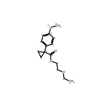 CCOCCOC(=O)C1(c2ccc(OC)cc2)CC1